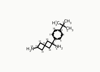 CC(C)(C)c1ccc(C2(N)CC3(CC(N)C3)C2)cc1